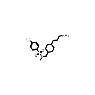 CNCCCC1CCC(CN(C)S(=O)(=O)c2ccc(C(F)(F)F)cc2)CC1